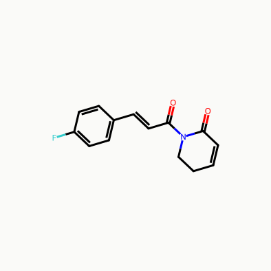 O=C1C=CCCN1C(=O)/C=C/c1ccc(F)cc1